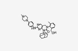 Cc1cccc(CO)c1N1Cc2cnc(Nc3ccc(N4CCN(C)CC4)cc3)nc2N(C23CC4CC(CC(C4)C2)C3)C1=O